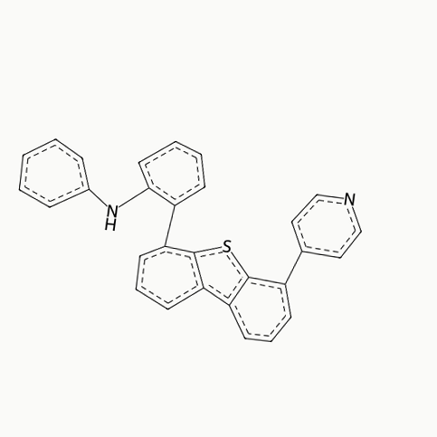 c1ccc(Nc2ccccc2-c2cccc3c2sc2c(-c4ccncc4)cccc23)cc1